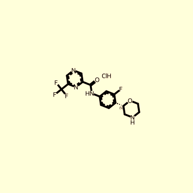 Cl.O=C(Nc1ccc([C@H]2CNCCO2)c(F)c1)c1cncc(C(F)(F)F)n1